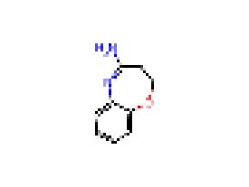 NC1=Nc2ccccc2OCC1